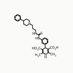 CC1=C(C(=O)O)C(c2cccc(NC(=S)NCCCN3CCC(c4ccccc4)CC3)c2)C(C(=O)O)=C(C)N1